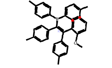 COc1ccccc1/C(=C(\B(c1ccc(C)cc1)c1ccc(C)cc1)c1ccc(C)cc1)c1ccc(C)cc1